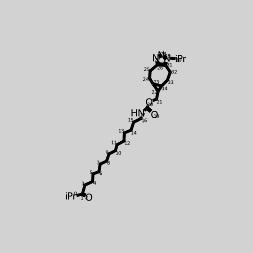 CC(C)C(=O)CCCCCCCCCCCCCCNC(=O)OCC1C2CCc3nnn(C(C)C)c3CCC21